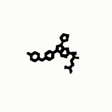 C[C@@H](COC(F)F)Nc1ncc2c(-c3ccc(CN4CCN(C)CC4)cc3)cn([C@@H]3CCOC3)c2n1